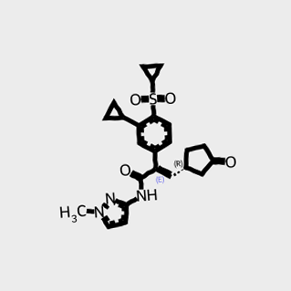 Cn1ccc(NC(=O)/C(=C/[C@@H]2CCC(=O)C2)c2ccc(S(=O)(=O)C3CC3)c(C3CC3)c2)n1